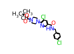 CC(C)(C)OC(=O)N1CCN(c2ncc(C(=O)NCc3ccc(Cl)cc3)cc2Cl)CC1